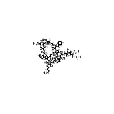 CC[C@H](C)[C@H](NC(=O)[C@H](CC(N)=O)NC(=O)CNC(=O)[C@@H]1CCCN1)C(=O)NCC(=O)N[C@@H](Cc1ccccc1)C(=O)N1CCC[C@H]1C(=O)NCC(=O)N1CCC[C@H]1C(=O)N[C@@H](CCCCN)C(=O)NCC(=O)N1CCC[C@H]1C(=O)N[C@H](C(=O)NCC(=O)N[C@@H](CCC(=O)O)C(=O)O)[C@@H](C)O